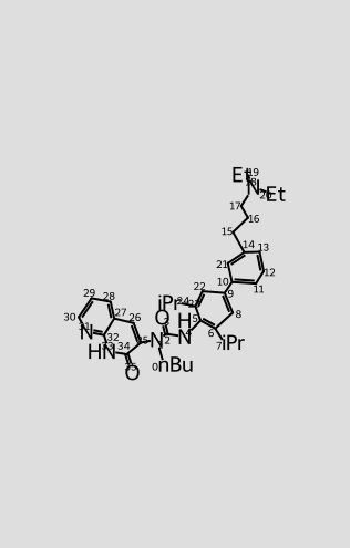 CCCCN(C(=O)Nc1c(C(C)C)cc(-c2cccc(CCCN(CC)CC)c2)cc1C(C)C)c1cc2cccnc2[nH]c1=O